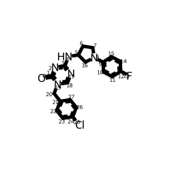 O=c1nc(NC2CCN(c3ccc(F)cc3)C2)ncn1Cc1ccc(Cl)cc1